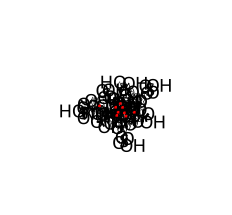 COC1O[C@H](COS(=O)(=O)O)[C@@H](O[C@@H]2O[C@@H](C(=O)O)[C@@H](O[C@H]3O[C@H](COS(=O)(=O)O)[C@@H](O[C@@H]4O[C@H](C(=O)O)[C@@H](O[C@H]5O[C@H](COS(=O)(=O)O)[C@@H](O[C@@H]6OC(C(=O)O)=C[C@H](O)[C@H]6O)[C@H](O)[C@H]5NC(C)=O)[C@H](O)[C@H]4O)[C@H](O)[C@H]3NS(=O)(=O)O)[C@H](O)[C@H]2OS(=O)(=O)O)[C@H](O)[C@H]1NS(=O)(=O)O